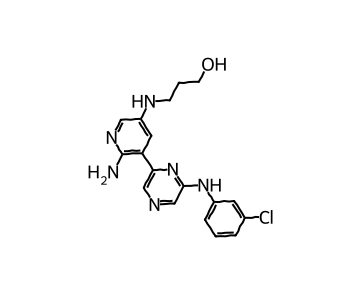 Nc1ncc(NCCCO)cc1-c1cncc(Nc2cccc(Cl)c2)n1